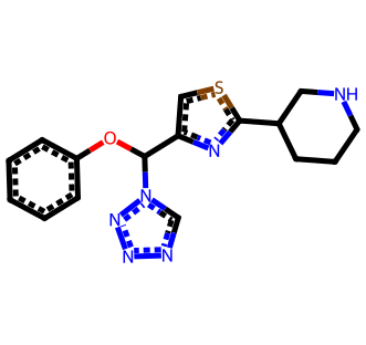 c1ccc(OC(c2csc(C3CCCNC3)n2)n2cnnn2)cc1